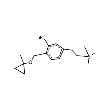 CC(C)c1cc(CC[Si](C)(C)C)ccc1COC1(C)CC1